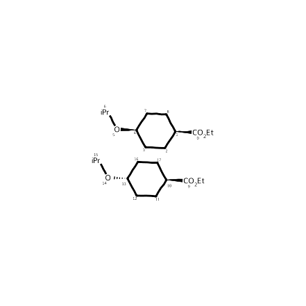 CCOC(=O)[C@H]1CC[C@@H](OC(C)C)CC1.CCOC(=O)[C@H]1CC[C@H](OC(C)C)CC1